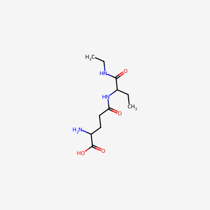 CCNC(=O)C(CC)NC(=O)CCC(N)C(=O)O